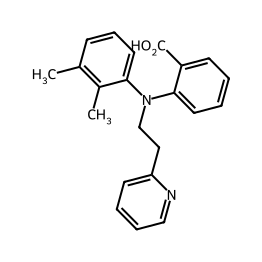 Cc1cccc(N(CCc2ccccn2)c2ccccc2C(=O)O)c1C